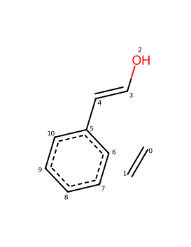 C=C.OC=Cc1ccccc1